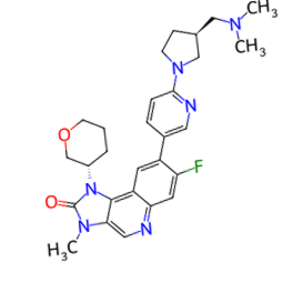 CN(C)C[C@@H]1CCN(c2ccc(-c3cc4c(cc3F)ncc3c4n([C@H]4CCCOC4)c(=O)n3C)cn2)C1